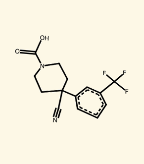 N#CC1(c2cccc(C(F)(F)F)c2)CCN(C(=O)O)CC1